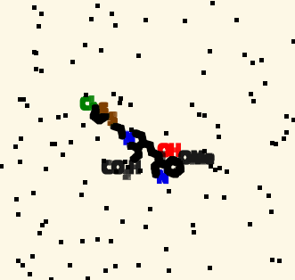 COc1ccc2nccc([C@@H](O)CCC3CCN(CCCSc4ccc(Cl)s4)CC3CCC(=O)O)c2c1